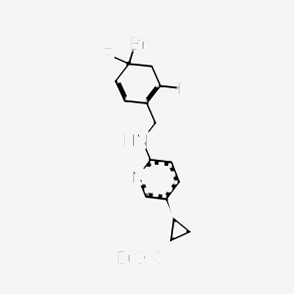 CCOC(=O)[C@H]1C[C@@H]1c1ccc(NCC2=C(F)CC(F)(Br)C=C2)nc1